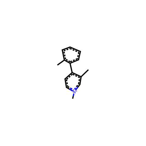 Cc1ccccc1-c1cc[n+](C)cc1C